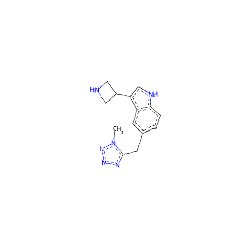 Cn1nnnc1Cc1ccc2[nH]cc(C3CNC3)c2c1